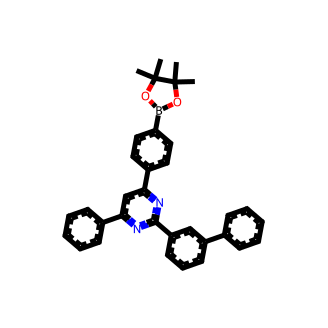 CC1(C)OB(c2ccc(-c3cc(-c4ccccc4)nc(-c4cccc(-c5ccccc5)c4)n3)cc2)OC1(C)C